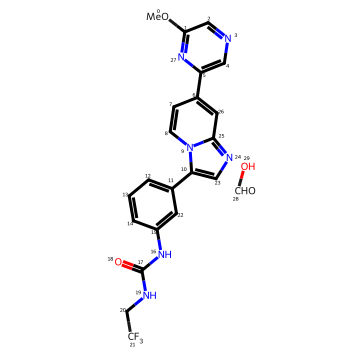 COc1cncc(-c2ccn3c(-c4cccc(NC(=O)NCC(F)(F)F)c4)cnc3c2)n1.O=CO